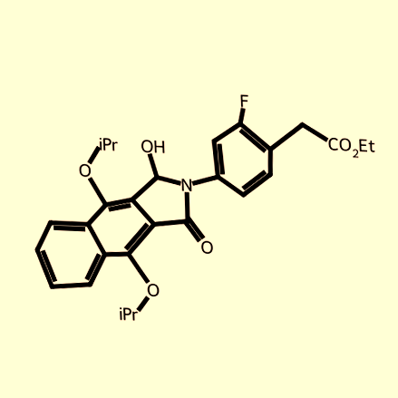 CCOC(=O)Cc1ccc(N2C(=O)c3c(c(OC(C)C)c4ccccc4c3OC(C)C)C2O)cc1F